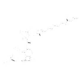 COC1C(OC(=O)N[C@@H](COC(=O)NCCCCCCNC(=O)CNF)C(C)C)CC[C@]23OC2C2(O[C@@H]2CC=C(C)C)C13